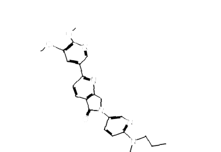 CCCN(C)c1ccc(N2Cc3nc(-c4cnc(OC)c(OC)c4)ccc3C2=O)cn1